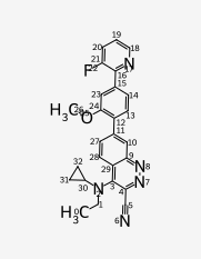 CCN(c1c(C#N)nnc2cc(-c3ccc(-c4ncccc4F)cc3OC)ccc12)C1CC1